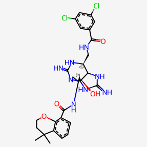 CC1(C)CCOc2c(C(=O)NC3CN4C(=N)N[C@@H](CNC(=O)c5cc(Cl)cc(Cl)c5)C5NC(=N)NC54[C@@H]3O)cccc21